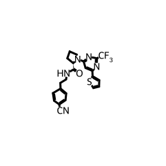 N#Cc1ccc(CCNC(=O)[C@@H]2CCCN2c2cc(-c3cccs3)nc(C(F)(F)F)n2)cc1